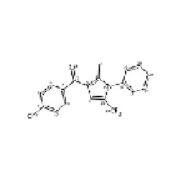 Cc1c(C(=O)c2ccc(Cl)cc2)cc(C(F)(F)F)n1-c1ccccc1